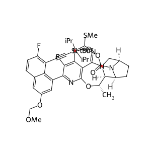 COCOc1cc(-c2nc3c4c(nc(SC)nc4c2F)N2C[C@H]4CC[C@@H]([C@H]2[C@H](C)O3)N4C(=O)OC(C)(C)C)c2c(C#C[Si](C(C)C)(C(C)C)C(C)C)c(F)ccc2c1